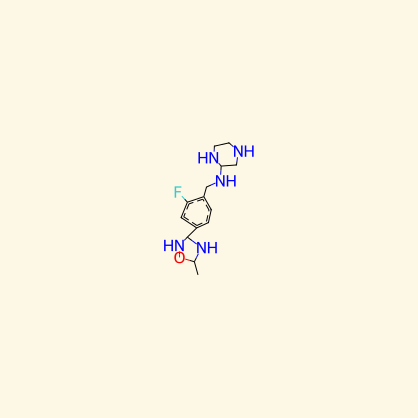 CC1NC(c2ccc(CNC3CNCCN3)c(F)c2)NO1